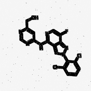 OCc1cc(Nc2ncc(F)c3nn(-c4c(Cl)cccc4Cl)cc23)ncn1